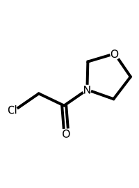 O=C(CCl)N1CCOC1